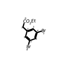 CCOC(=O)Cc1cc(Br)cc(Br)c1